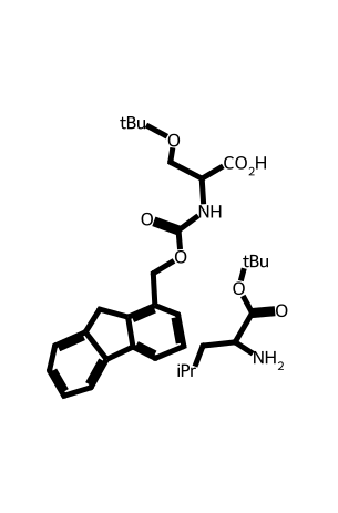 CC(C)(C)OCC(NC(=O)OCc1cccc2c1Cc1ccccc1-2)C(=O)O.CC(C)CC(N)C(=O)OC(C)(C)C